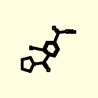 COC(=O)c1ccc(C(=O)N2CCCC2)c(Br)c1